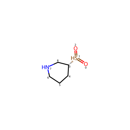 O=[SH](=O)[C@@H]1CCCNC1